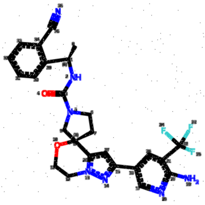 C[C@@H](NC(=O)N1CC[C@]2(C1)OCCn1nc(-c3cnc(N)c(C(F)(F)F)c3)cc12)c1ccccc1C#N